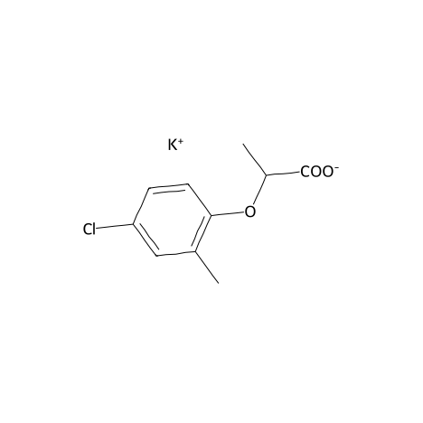 Cc1cc(Cl)ccc1OC(C)C(=O)[O-].[K+]